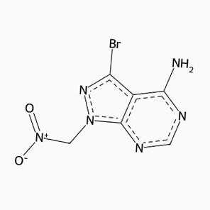 Nc1ncnc2c1c(Br)nn2C[N+](=O)[O-]